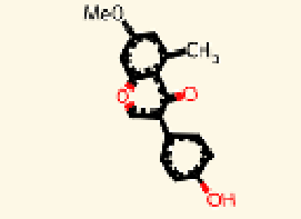 COc1cc(C)c2c(=O)c(-c3ccc(O)cc3)coc2c1